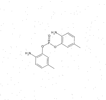 Cc1ccc(N)c(O[PH](=O)Oc2cc(C)ccc2N)c1